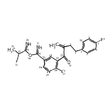 C=C(CCc1ccc(F)cc1)C(=O)c1cc(C(=N)OC(=N)C(C)F)cnc1CC